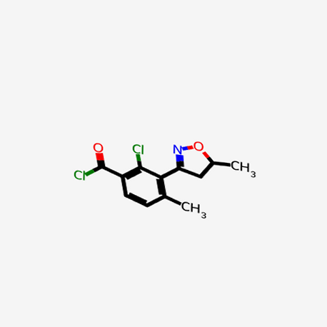 Cc1ccc(C(=O)Cl)c(Cl)c1C1=NOC(C)C1